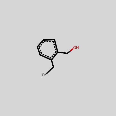 CC(C)Cc1ccccc1CO